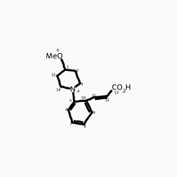 COC1CCN(c2ccccc2C=CC(=O)O)CC1